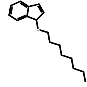 CCCCCCCCOC1C=Cc2ccccc21